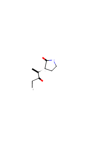 C=C(C(=O)CNC(C)=O)[C@@H]1CCNC1=O